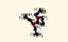 [C-]#[N+]/C(C#N)=C1C=C(/C=C/c2ccc(N(C)CCOc3cc(COc4cc(C)cc(OCc5cc(OCCN(C)c6ccc(/C=C/C7=CC(=C(C#N)C#N)CCC7)cc6)cc(OCCN(C)c6ccc(/C=C/C7=CC(=C(C#N)C#N)CC(C)(C)C7)cc6)c5)c4)cc(OCCN(C)c4ccc(/C=C/C5=CC(=C(C#N)C#N)CC(C)(C)C5)cc4)c3)cc2)CC(C)(C)C\1